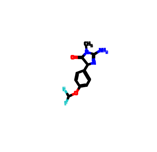 CN1C(=O)C(c2ccc(OC(F)F)cc2)N=C1N